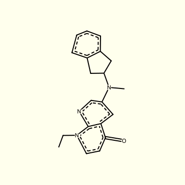 CCn1ccc(=O)c2cc(N(C)C3Cc4ccccc4C3)cnc21